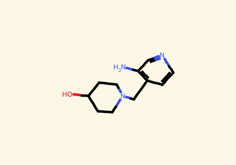 Nc1cnccc1CN1CCC(O)CC1